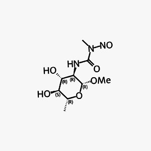 CO[C@@H]1O[C@H](C)[C@@H](O)[C@H](O)[C@H]1NC(=O)N(C)N=O